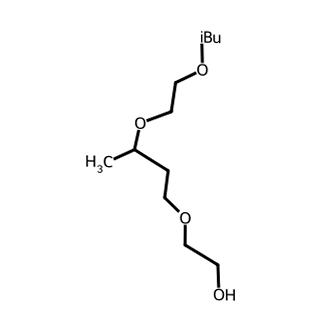 CCC(C)OCCOC(C)CCOCCO